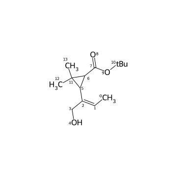 C/C=C(/CO)C1C(C(=O)OC(C)(C)C)C1(C)C